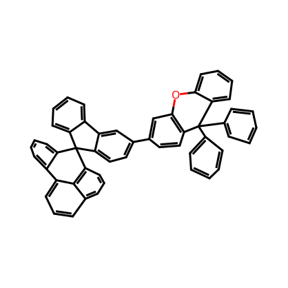 c1ccc(C2(c3ccccc3)c3ccccc3Oc3cc(-c4ccc5c(c4)-c4ccccc4C54c5ccccc5-c5cccc6cccc4c56)ccc32)cc1